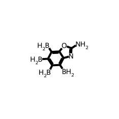 Bc1c(B)c(B)c2oc(N)nc2c1B